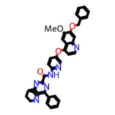 COc1cc2c(Oc3ccc(NC(=O)c4nc(-c5ccccc5)c5c(n4)C4CCN5CC4)nc3)ccnc2cc1OCc1ccccc1